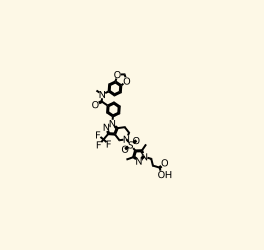 Cc1nn(CCC(=O)O)c(C)c1S(=O)(=O)N1CCc2c(c(C(F)(F)F)nn2-c2cccc(C(=O)N(C)c3ccc4c(c3)OCO4)c2)C1